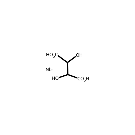 O=C(O)C(O)C(O)C(=O)O.[Nb]